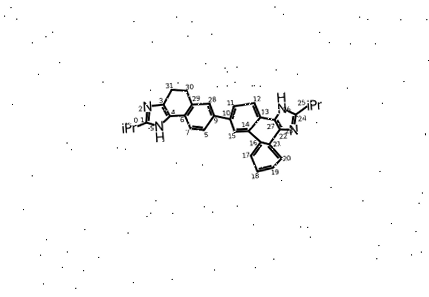 CC(C)c1nc2c([nH]1)-c1ccc(-c3ccc4c(c3)c3ccccc3c3nc(C(C)C)[nH]c43)cc1CC2